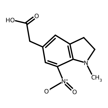 CN1CCc2cc(CC(=O)O)cc([N+](=O)[O-])c21